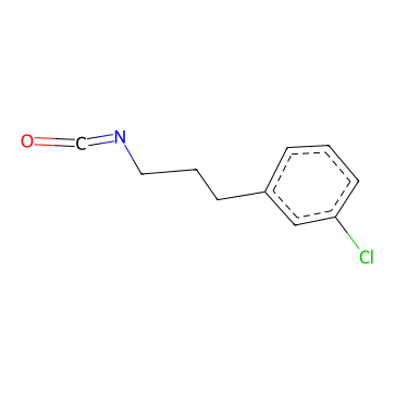 O=C=NCCCc1cccc(Cl)c1